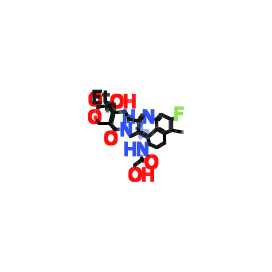 C=C1/C(=C2\c3c(N)cc(F)c(C)c3CCC2NC(=O)CO)CN2C(=O)C3=C(CC12)[C@@](O)(CC)C(=O)OC3